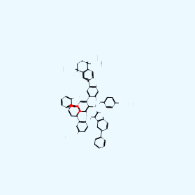 CC(C)(C)c1ccc(N2B3c4oc5ccc(-c6ccccc6)cc5c4N(c4ccc(C(C)(C)C)cc4-c4ccccc4)c4cc5c(oc6ccccc65)c(c43)-c3cc4c(cc32)oc2cc3c(cc24)C(C)(C)CCC3(C)C)cc1